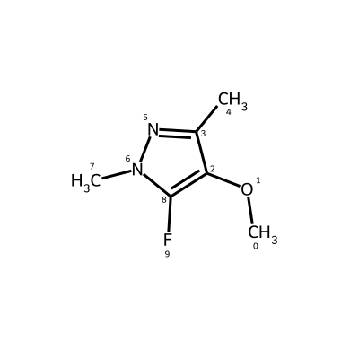 COc1c(C)nn(C)c1F